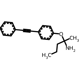 CCCC(C)(N)Oc1ccc(C#Cc2ccccc2)cc1